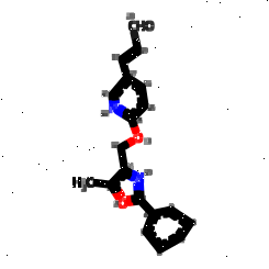 Cc1oc(-c2ccccc2)nc1COc1ccc(/C=C/C=O)cn1